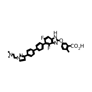 Cc1ccc(Oc2nc3c(F)c(-c4ccc(-c5ccc(-c6ccn(CCN(C)C)n6)cc5)cc4)c(F)cc3[nH]2)cc1C(=O)O